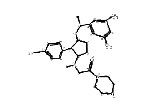 C[C@H](OC1CCC(N(C)CC(=O)N2CCOCC2)C1c1ccc(F)cc1)c1cc(C(F)(F)F)cc(C(F)(F)F)c1